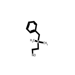 C[N+](C)(CCN=O)Cc1ccccc1